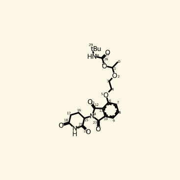 CC(OCCOc1cccc2c1C(=O)N(C1CCC(=O)NC1=O)C2=O)OC(=O)NC(C)(C)C